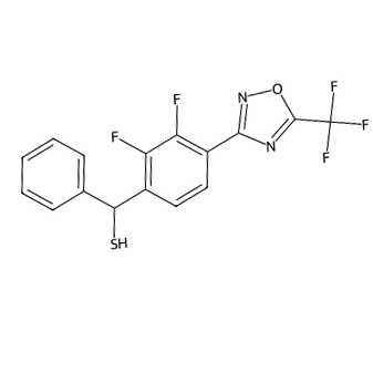 Fc1c(-c2noc(C(F)(F)F)n2)ccc(C(S)c2ccccc2)c1F